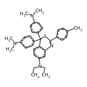 CCN(CC)c1ccc2c(c1)N=C(c1ccc(C)cc1)SC2(c1ccc(N(C)C)cc1)c1ccc(N(C)C)cc1